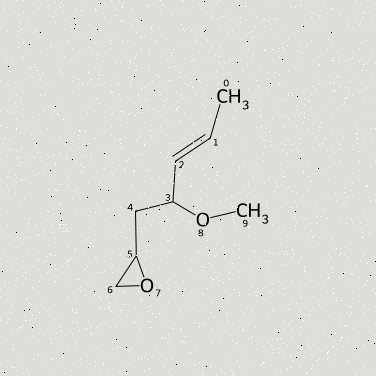 C/C=C/C(CC1CO1)OC